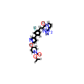 CC(C)OC(=O)N1CCC(Oc2ccc(-c3ccc(C[C@H](N)C(=O)N4CCC[C@H]4C#N)c(F)c3)cn2)CC1